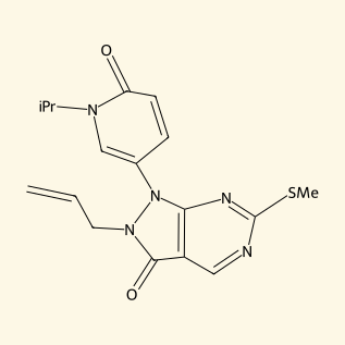 C=CCn1c(=O)c2cnc(SC)nc2n1-c1ccc(=O)n(C(C)C)c1